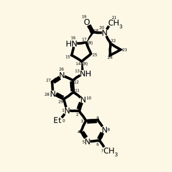 CCn1c(-c2cnc(C)nc2)nc2c(N[C@H]3CN[C@@H](C(=O)N(C)C4CC4)C3)ncnc21